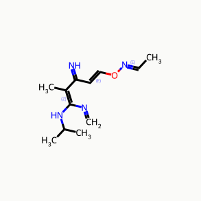 C=N/C(NC(C)C)=C(/C)C(=N)/C=C/O/N=C/C